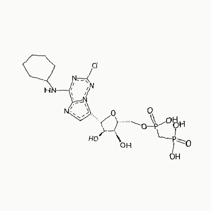 O=P(O)(O)CP(=O)(O)OC[C@H]1O[C@@H](c2cnc3c(NC4CCCCC4)nc(Cl)nn23)[C@H](O)[C@@H]1O